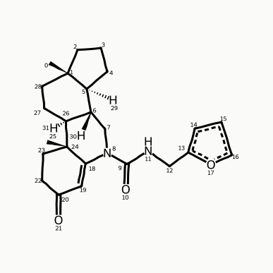 C[C@@]12CCC[C@H]1[C@@H]1CN(C(=O)NCc3ccco3)C3=CC(=O)CC[C@]3(C)[C@H]1CC2